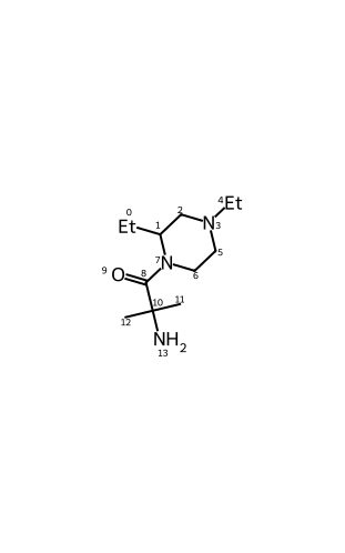 CCC1CN(CC)CCN1C(=O)C(C)(C)N